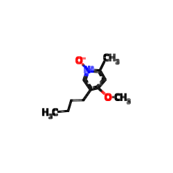 CCCCc1c[n+]([O-])c(C)cc1OC